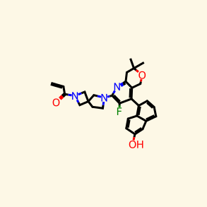 C=CC(=O)N1CC2(CCN(c3nc4c(c(-c5cccc6cc(O)ccc56)c3F)COC(C)(C)C4)C2)C1